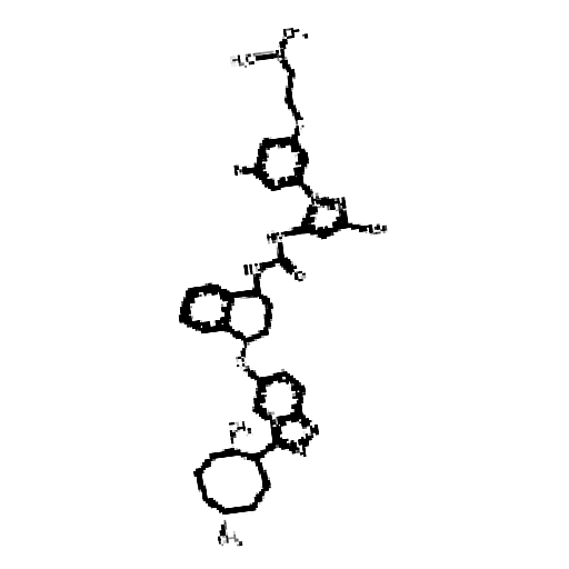 C[C@@H]1CCC[C@H](C)C(c2nnc3ccc(O[C@@H]4CCC(NC(=O)Nc5cc(C(C)(C)C)nn5-c5cc(F)cc(OCCN(C)C)c5)c5ccccc54)cn23)CC1